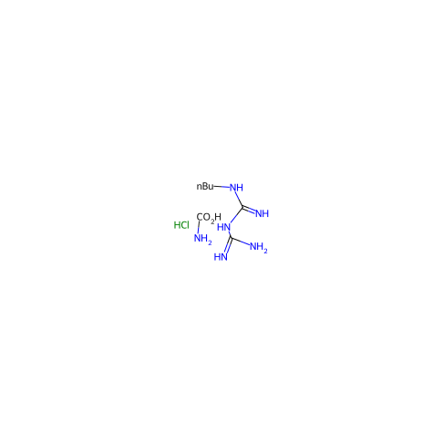 CCCCNC(=N)NC(=N)N.Cl.NC(=O)O